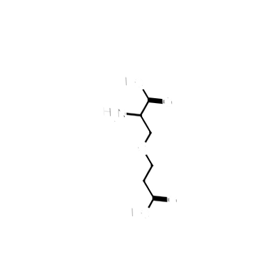 NC(COCCC(=O)O)C(=O)O